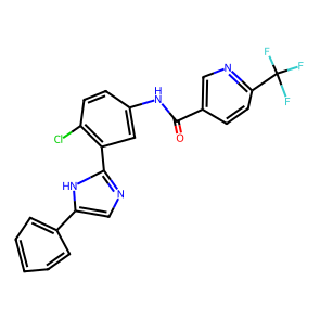 O=C(Nc1ccc(Cl)c(-c2ncc(-c3ccccc3)[nH]2)c1)c1ccc(C(F)(F)F)nc1